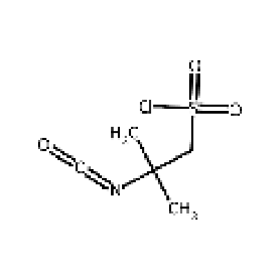 CC(C)(CS(=O)(=O)Cl)N=C=O